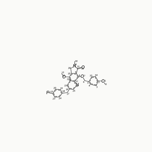 COc1ccc(COc2c3c(c(OC)c4cc(Cc5ccc(F)cc5)cnc24)CN(C)C3=O)cc1